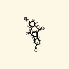 O=C=C1C=C2C(=CC1)c1c2c2ccc1c(=O)oc1c(oc2=O)=CC(=C=O)CC=1